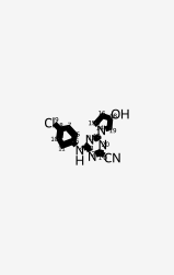 N#Cc1nc(Nc2ccc(Cl)cc2)nc(N2CCC(O)C2)n1